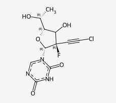 C[C@@H](O)[C@H]1O[C@@H](n2cnc(=O)[nH]c2=O)[C@@](F)(C#CCl)C1O